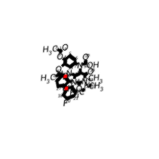 CC(=O)Oc1ccc(N(C(=O)O)C2=C(N)[N+](c3ccc(F)cc3)(c3ccccc3Cl)C(=O)[N+](C)(N(C)C)C2=O)cc1OC(C)=O